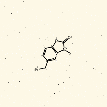 CC(C)Cc1ccc2oc(=O)n(C)c2c1